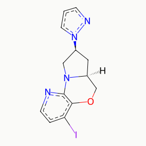 Ic1ccnc2c1OC[C@@H]1C[C@H](n3cccn3)CN21